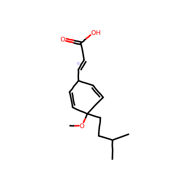 COC1(CCC(C)C)C=CC(/C=C/C(=O)O)C=C1